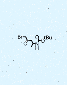 CC(CC(=O)CBr)NC(=O)OC(C)(C)C